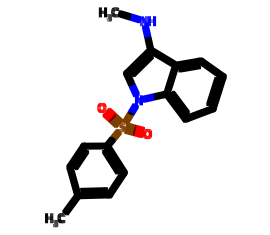 CNc1cn(S(=O)(=O)c2ccc(C)cc2)c2ccccc12